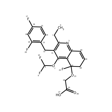 CCc1nc2c(c(OC(F)F)c1Cc1ccc(F)cc1F)C(F)(OCC(=O)O)CC=C2